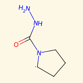 NNC(=O)N1[CH]CCC1